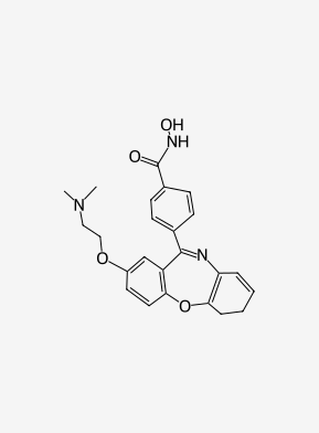 CN(C)CCOc1ccc2c(c1)C(c1ccc(C(=O)NO)cc1)=NC1=C(CCC=C1)O2